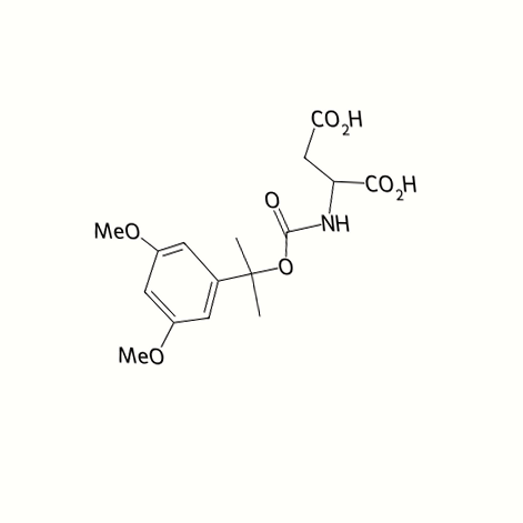 COc1cc(OC)cc(C(C)(C)OC(=O)NC(CC(=O)O)C(=O)O)c1